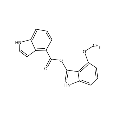 COc1cccc2[nH]cc(OC(=O)c3cccc4[nH]ccc34)c12